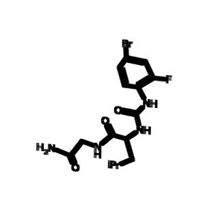 CC(C)CC(NC(=O)Nc1ccc(Br)cc1F)C(=O)NCC(N)=O